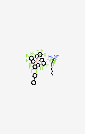 CCCCCCC(F)(F)C(F)(F)C(F)(F)[NH2+]C.FC1=C(F)C([B-](C2C(F)=C(F)c3c2cc(F)c(F)c3F)(C2C(F)=C(F)c3c2cc(F)c(F)c3F)C2C(F)=C(F)c3c2cc(F)c(F)c3F)c2cc(F)c(F)c(F)c21.c1ccc(-c2ccccc2)cc1